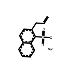 C=CCc1ccc2ccccc2c1S(=O)(=O)[O-].[Na+]